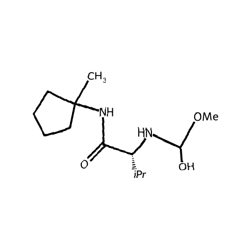 COC(O)N[C@@H](C(=O)NC1(C)CCCC1)C(C)C